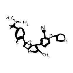 Cc1cnc2cc(-c3ccc(C(=O)N(C)C)cc3F)oc2c1-c1ccc(OC2CCOCC2)c(C#N)c1